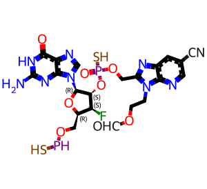 N#Cc1cnc2c(c1)nc(COP(=O)(S)O[C@@H]1[C@@H](F)[C@@H](COPS)O[C@H]1n1cnc3c(=O)[nH]c(N)nc31)n2CCOC=O